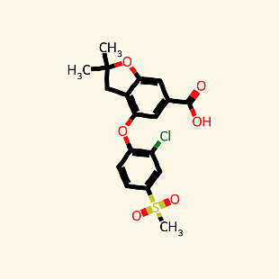 CC1(C)Cc2c(Oc3ccc(S(C)(=O)=O)cc3Cl)cc(C(=O)O)cc2O1